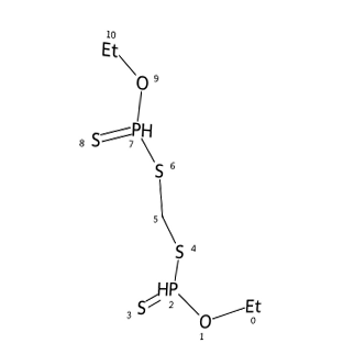 CCO[PH](=S)SCS[PH](=S)OCC